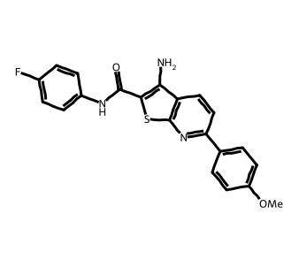 COc1ccc(-c2ccc3c(N)c(C(=O)Nc4ccc(F)cc4)sc3n2)cc1